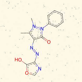 Cc1c(N=Nc2ncoc2O)c(=O)n(-c2ccccc2)n1C